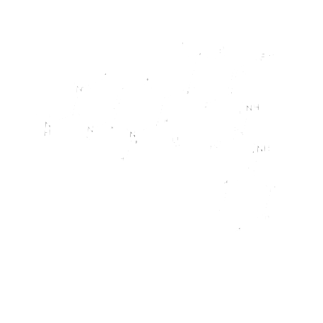 CNc1ncc2cc(-c3cc(NC(=O)NC4CCCCC4)c(F)cc3C)c(=O)n(C)c2n1